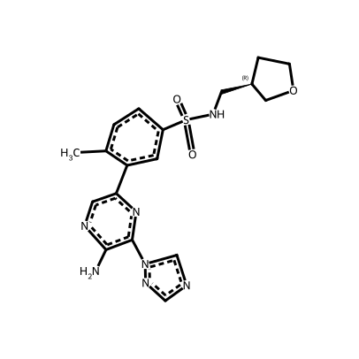 Cc1ccc(S(=O)(=O)NC[C@H]2CCOC2)cc1-c1cnc(N)c(-n2cncn2)n1